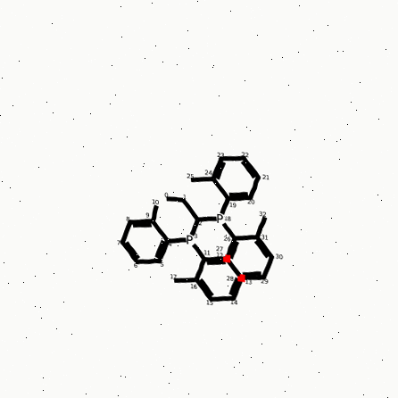 CCC(P(c1ccccc1C)c1ccccc1C)P(c1ccccc1C)c1ccccc1C